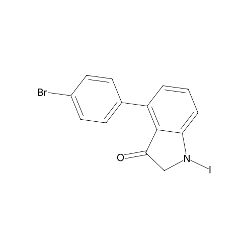 O=C1CN(I)c2cccc(-c3ccc(Br)cc3)c21